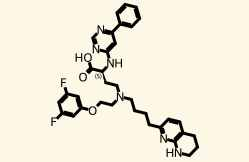 O=C(O)[C@H](CCN(CCCCc1ccc2c(n1)NCCC2)CCOc1cc(F)cc(F)c1)Nc1cc(-c2ccccc2)ncn1